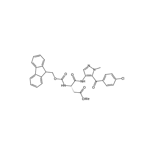 COC(=O)C[C@H](NC(=O)OCC1c2ccccc2-c2ccccc21)C(=O)Nc1cnn(C)c1C(=O)c1ccc(Cl)cc1